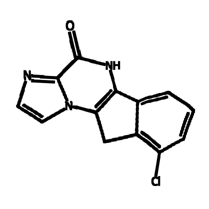 O=c1[nH]c2c(n3ccnc13)Cc1c(Cl)cccc1-2